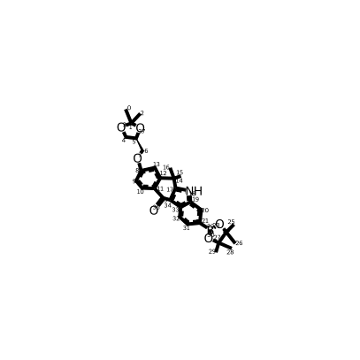 CC1(C)OC[C@H](COc2ccc3c(c2)C(C)(C)c2[nH]c4cc(B5OC(C)(C)C(C)(C)O5)ccc4c2C3=O)O1